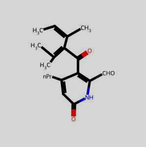 C/C=C(/C)C(C(=O)c1c(CCC)cc(=O)[nH]c1C=O)=C(C)C